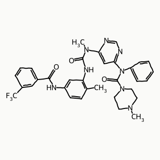 Cc1ccc(NC(=O)c2cccc(C(F)(F)F)c2)cc1NC(=O)N(C)c1cc(N(C(=O)N2CCN(C)CC2)c2ccccc2)ncn1